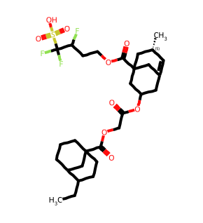 CCC1CCC2(C(=O)OCC(=O)OC3CC4=C[C@@H](C)CC(C(=O)OCCC(F)C(F)(F)S(=O)(=O)O)(C4)C3)CCCC1C2